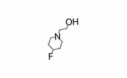 OCCN1CCC(F)CC1